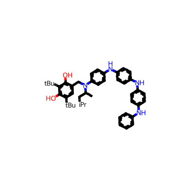 CC(C)CC(C)N(Cc1cc(C(C)(C)C)c(O)c(C(C)(C)C)c1O)c1ccc(Nc2ccc(Nc3ccc(Nc4ccccc4)cc3)cc2)cc1